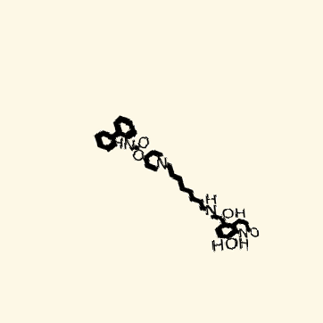 O=C(Nc1ccccc1-c1ccccc1)OC1CCN(CCCCCCCCNCC(O)c2ccc(O)c3[nH]c(=O)ccc23)CC1